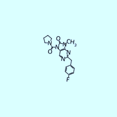 Cn1c(=O)n(C(=O)N2CCCC2)c2cnc(Cc3ccc(F)cc3)nc21